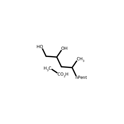 CC(=O)O.CCCCCC(C)CC(O)CO